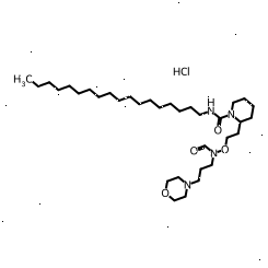 CCCCCCCCCCCCCCCCCCNC(=O)N1CCCCC1CCON(C=O)CCCN1CCOCC1.Cl